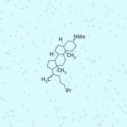 CN[C@H]1CCC2(C)C3CCC4(C)C(CCC4[C@H](C)CCCC(C)C)[C@H]3CC[C@H]2C1